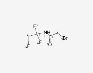 O=C(CBr)NC(F)(F)CF